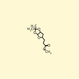 COC(=O)CCC1CC2OC(C)(C)OC2O1